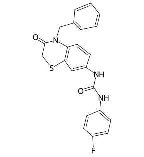 O=C(Nc1ccc(F)cc1)Nc1ccc2c(c1)SCC(=O)N2Cc1ccccc1